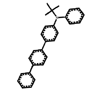 CC(C)(C)N(c1ccccc1)c1ccc(-c2ccc(-c3ccccc3)cc2)cc1